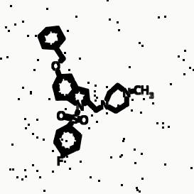 CN1CCN(Cc2cc3cc(OCc4ccccc4)ccc3n2S(=O)(=O)c2ccc(F)cc2)CC1